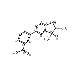 CC1Nc2ccc(-c3cccc([N+](=O)[O-])c3)cc2C1(C)C